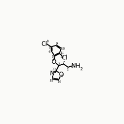 NCCC(Oc1cc(Cl)ccc1Cl)c1ncco1